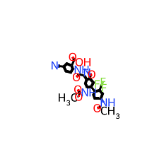 COC(=O)Nc1cc2c(C(=O)Nc3ccc(C#N)cc3C(=O)O)noc2cc1-c1ccc(NC(C)=O)cc1C(F)(F)F